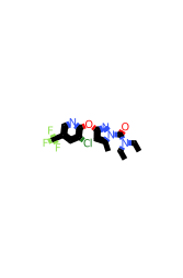 CCN(CC)C(=O)n1nc(Oc2ncc(C(F)(F)F)cc2Cl)cc1C